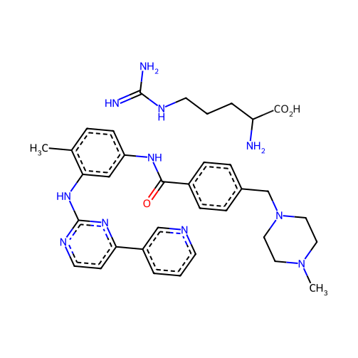 Cc1ccc(NC(=O)c2ccc(CN3CCN(C)CC3)cc2)cc1Nc1nccc(-c2cccnc2)n1.N=C(N)NCCCC(N)C(=O)O